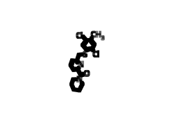 Cc1cc(Cl)c(SCc2cccc(C(=O)N3CCCCC3)n2)cc1Cl